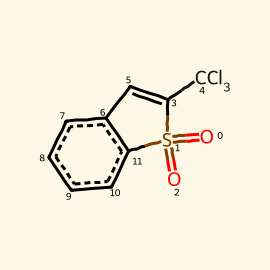 O=S1(=O)C(C(Cl)(Cl)Cl)=Cc2ccccc21